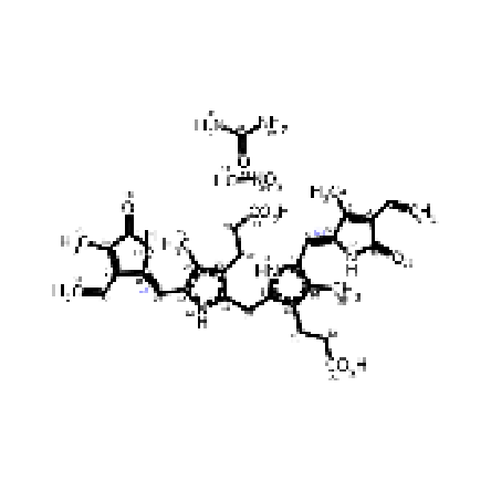 C=CC1=C(C)/C(=C/c2[nH]c(Cc3[nH]c(/C=C4\NC(=O)C(C)=C4C=C)c(C)c3CCC(=O)O)c(CCC(=O)O)c2C)NC1=O.NC(N)=O.O=[N+]([O-])O